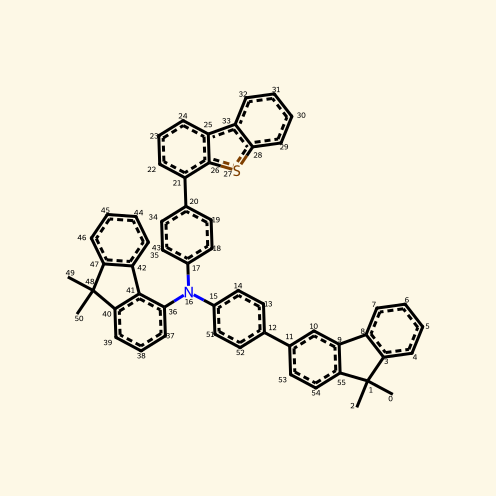 CC1(C)c2ccccc2-c2cc(-c3ccc(N(c4ccc(-c5cccc6c5sc5ccccc56)cc4)c4cccc5c4-c4ccccc4C5(C)C)cc3)ccc21